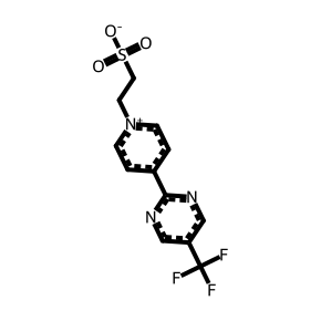 O=S(=O)([O-])CC[n+]1ccc(-c2ncc(C(F)(F)F)cn2)cc1